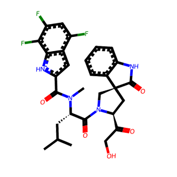 CC(C)C[C@@H](C(=O)N1C[C@]2(C[C@H]1C(=O)CO)C(=O)Nc1ccccc12)N(C)C(=O)c1cc2c(F)cc(F)c(F)c2[nH]1